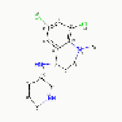 CN1CCC(N[C@H]2CCCNC2)c2cc(Cl)cc(Cl)c21